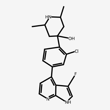 CC1CC(O)(c2ccc(-c3ccnc4[nH]cc(F)c34)cc2Cl)CC(C)N1